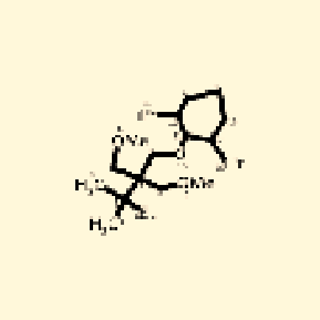 CCC(C)(C)C(COC)(COC)COC1C(C(C)C)CCCC1C(C)C